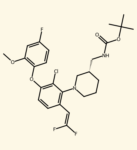 COc1cc(F)ccc1Oc1ccc(C=C(F)F)c(N2CCC[C@@H](CNC(=O)OC(C)(C)C)C2)c1Cl